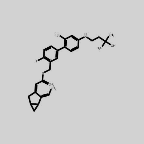 C=C(/C=C1/CC2CC2/C1=C/C)OCc1cc(-c2ccc(NCCC(C)(C)O)cc2C(F)(F)F)ccc1F